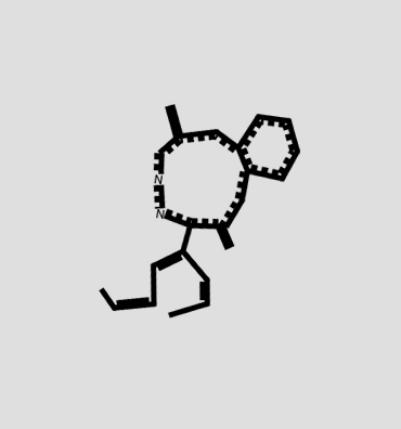 C=c1cnnc(C(/C=C\C)=C/C=C\C)c(=C)cc2ccccc2c1